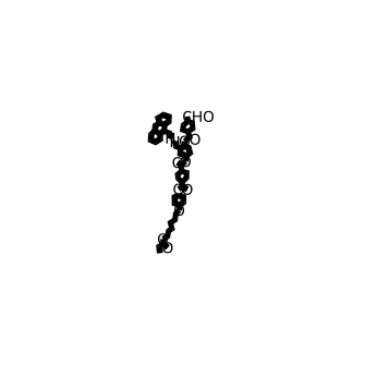 C=CC(=O)OCCCCCCOc1ccc(OC(=O)C2CCC(C(=O)Oc3ccc(OC(=O)C4CCC(C=O)CC4)c(/C=N/N=C/c4c5ccccc5cc5ccccc45)c3)CC2)cc1